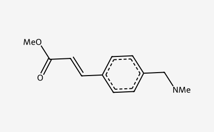 CNCc1ccc(/C=C/C(=O)OC)cc1